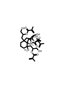 C=C(C)C(=O)OC(CO)CC1(N)CCCC(CC(CO)OC(=O)C(=C)C)(CC(CO)OC(=O)C(=C)C)C1(N)CC(CO)OC(=O)C(=C)C